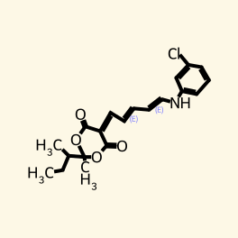 CCC(C)C1(C)OC(=O)C(=C/C=C/C=C/Nc2cccc(Cl)c2)C(=O)O1